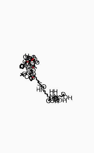 CO[C@H]1C(=O)[C@]2(C)[C@@H](OC)C[C@H]3OC[C@@]3(OC(C)=O)[C@H]2[C@@](C)(OC(=O)c2ccccc2)[C@]2(O)C[C@H](OC(=O)[C@H](OC(=O)CCCSSCC(=O)NCCCC[C@H](NC(=O)N[C@@H](CCC(=O)O)C(=O)O)C(=O)O)[C@@H](NC(=O)OC(C)(C)C)c3ccccc3)C(C)=C1C2(C)C